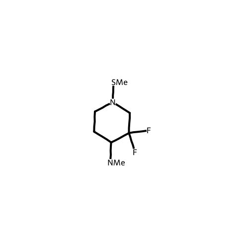 CNC1CCN(SC)CC1(F)F